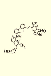 COc1cc(/C=C/c2cccc(-c3cccc(Nc4nccc5cc(CN6CC[C@@H](O)C6)c(C(F)(F)F)nc45)c3C)c2C)c(C(F)(F)F)cc1C=O